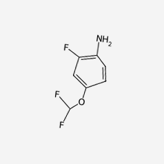 Nc1ccc(OC(F)F)cc1F